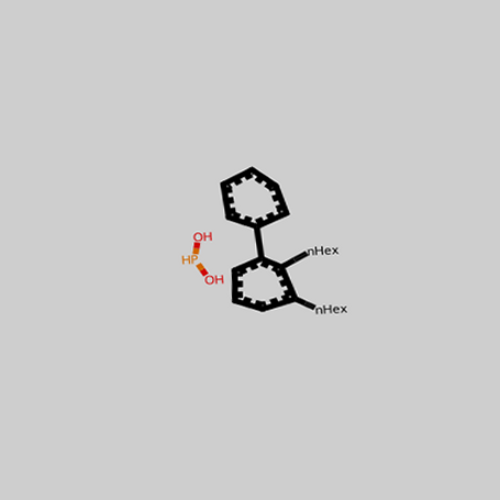 CCCCCCc1cccc(-c2ccccc2)c1CCCCCC.OPO